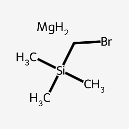 C[Si](C)(C)CBr.[MgH2]